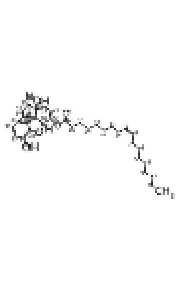 CCCCCCCC/C=C\CCCCCCCC(=O)OC1=CC[C@@]2(O)[C@@H]3CCCC24c2c(ccc(O)c2O[C@@H]14)C3